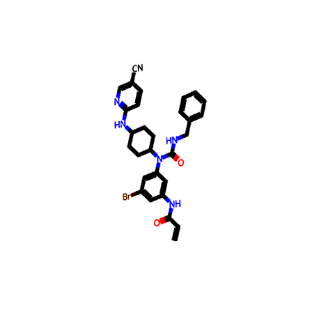 C=CC(=O)Nc1cc(Br)cc(N(C(=O)NCc2ccccc2)C2CCC(Nc3ccc(C#N)cn3)CC2)c1